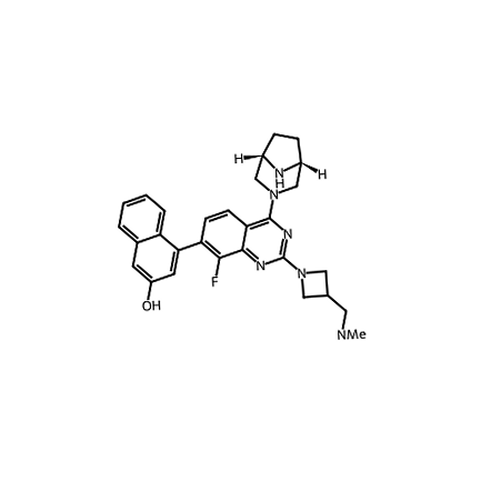 CNCC1CN(c2nc(N3C[C@H]4CC[C@@H](C3)N4)c3ccc(-c4cc(O)cc5ccccc45)c(F)c3n2)C1